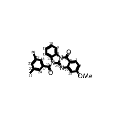 COc1ccc2c(=O)n3c4ccccc4n(C(=O)c4cc(C)cc(C)c4)c3nc2c1